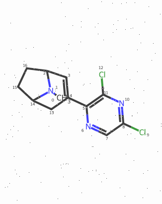 CN1C2C=C(c3ncc(Cl)nc3Cl)CC1CC2